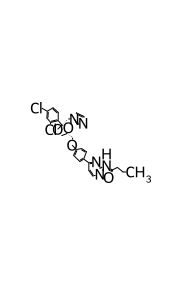 CCCC(=O)Nc1nccc(-c2ccc(OC[C@@H]3CO[C@@](Cn4ccnc4)(c4ccc(Cl)cc4Cl)O3)cc2)n1